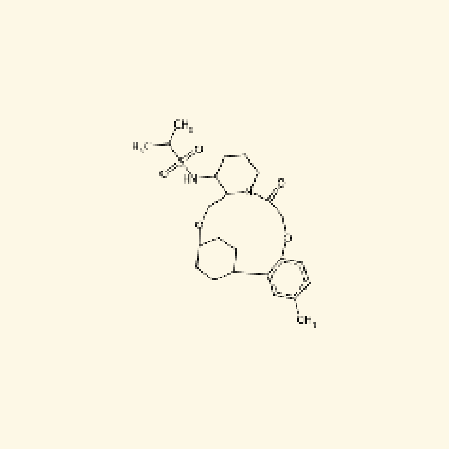 Cc1ccc2c(c1)C1CCC(CC1)OCC1C(NS(=O)(=O)C(C)C)CCCN1C(=O)CO2